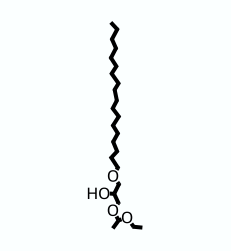 CCCCCCCCCCCCCCCCCCOCC(O)COC(C)OCC